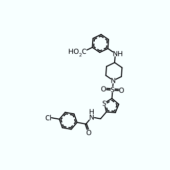 O=C(O)c1cccc(NC2CCN(S(=O)(=O)c3ccc(CNC(=O)c4ccc(Cl)cc4)s3)CC2)c1